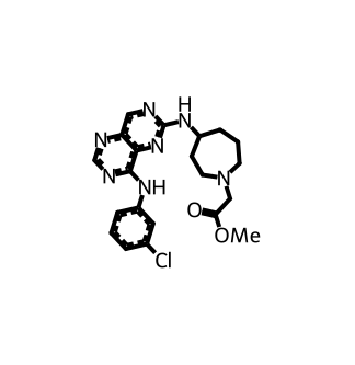 COC(=O)CN1CCCC(Nc2ncc3ncnc(Nc4cccc(Cl)c4)c3n2)CC1